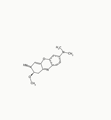 CO[C@@H]1CC2=Nc3ccc(N(C)C)cc3OC2=CC1=N